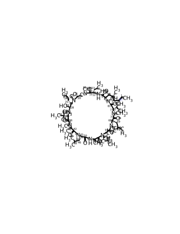 C/C=C/C[C@@H](C)[C@@H](O)[C@H]1C(=O)N[C@@H](CC)C(=O)N(C)CC(=O)N(C)[C@@H](CCC)C(O)N[C@@H](C(C)(C)C)C(=O)N(C)[C@@H](C)C(=O)N[C@@H](CC(C)C)C(=O)N[C@H](C)C(=O)N(C)[C@@H](CC(C)C)C(=O)N(C)[C@H](CC(C)C)C(=O)N(C)[C@@H](C(C)C)C(=O)N1C